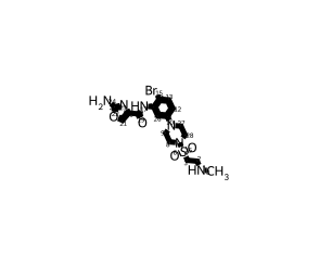 CNCCS(=O)(=O)N1CCN(c2ccc(Br)c(NC(=O)c3coc(N)n3)c2)CC1